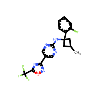 CC1CC(Nc2ncc(-c3noc(C(F)(F)F)n3)cn2)(c2ccccc2F)C1